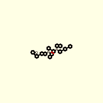 c1ccc(-c2ccc(-c3cccc(N(c4cccc(-c5ccccc5N(c5ccc6cc(-c7cccc8c7oc7ccccc78)ccc6c5)c5cccc6ccccc56)c4)c4cccc5ccccc45)c3)cc2)cc1